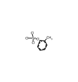 Cc1ccccc1.[Cl][Sn]([Cl])([Cl])[Cl]